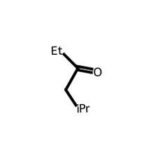 CCC(=O)CC(C)C